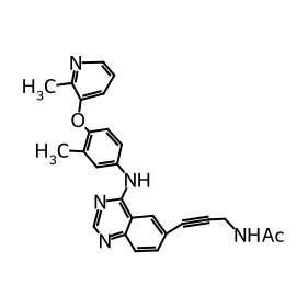 CC(=O)NCC#Cc1ccc2ncnc(Nc3ccc(Oc4cccnc4C)c(C)c3)c2c1